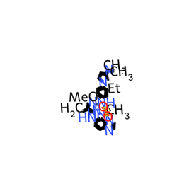 C=Cc1cnc(Nc2cc(CC)c(N3CCC(N(C)C)C3)cc2OC)nc1Nc1ccc2nccnc2c1NS(C)(=O)=O